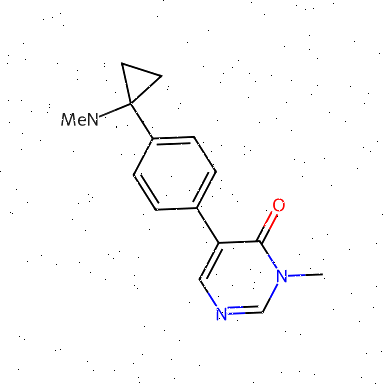 CNC1(c2ccc(-c3cncn(C)c3=O)cc2)CC1